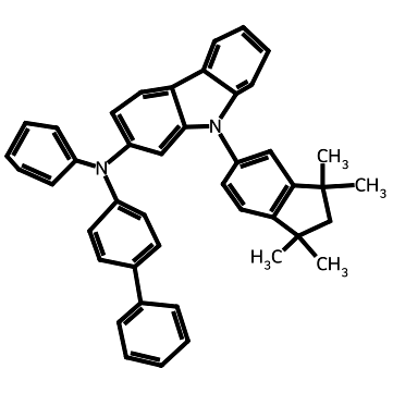 CC1(C)CC(C)(C)c2cc(-n3c4ccccc4c4ccc(N(c5ccccc5)c5ccc(-c6ccccc6)cc5)cc43)ccc21